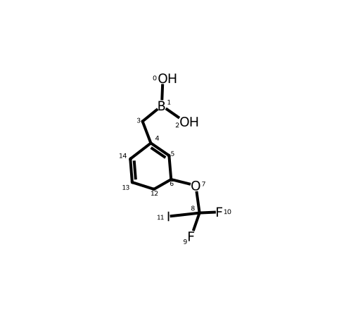 OB(O)CC1=CC(OC(F)(F)I)CC=C1